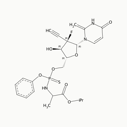 C#C[C@@]1(F)[C@H](O)[C@@H](COP(=S)(NC(C)C(=O)OC(C)C)Oc2ccccc2)O[C@H]1N1C=CC(=O)NC1=C